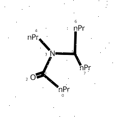 CCCC(=O)N(CCC)C(CCC)CCC